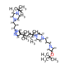 CC(C)(C)OC1CN(CCCN2CCN(C(C)(C)CCC(C)(C)c3cnn(CCCN4CCN(C(C)(C)C)CC4)c3)CC2)C1